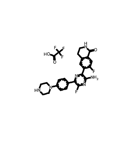 Nc1nc(F)c(-c2ccc(N3CCNCC3)cc2)nc1-c1cc2c(cc1F)C(=O)NCC2.O=C(O)C(F)(F)F